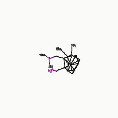 CC(C)(C)P(C[C]12[C]3(CP)[CH]4[CH]5[C]1(C(C)(C)C)[Fe]45321678[CH]2[CH]1[CH]6[C]7(C(C)(C)C)[CH]28)C(C)(C)C